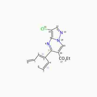 C=C/C=C(\C=C/C)c1nc2c(Cl)cnn2cc1C(=O)OCC